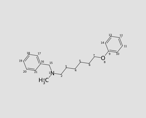 CN(CCCCCCOc1cc[c]cc1)Cc1ccccc1